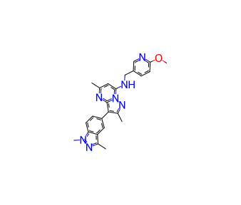 COc1ccc(CNc2cc(C)nc3c(-c4ccc5c(c4)c(C)nn5C)c(C)nn23)cn1